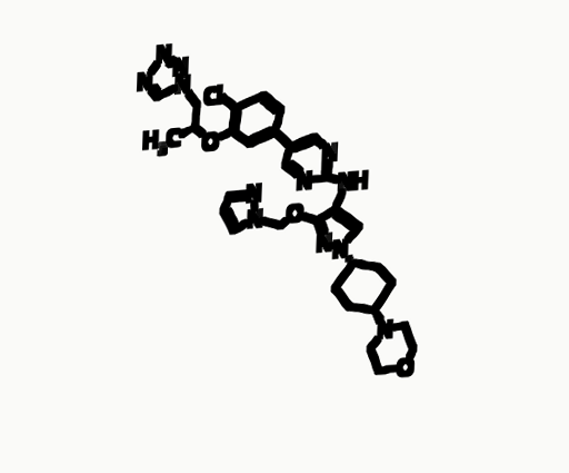 C[C@@H](Cn1cnnn1)Oc1cc(-c2cnc(Nc3cn([C@H]4CC[C@H](N5CCOCC5)CC4)nc3OCn3cccn3)nc2)ccc1Cl